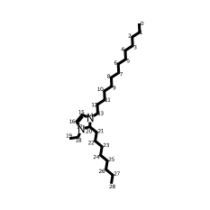 CCCCCCCCCCCCCCN1C=CN(CC)C1CCCCCCCC